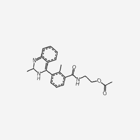 CC(=O)OCCNC(=O)c1cccc(C2=c3ccccc3=NC(C)N2)c1C